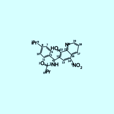 CC(C)C(=O)NC(c1ccc(C(C)C)cc1)c1cc([N+](=O)[O-])c2cccnc2c1O